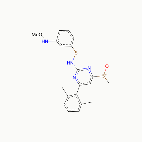 CONc1cccc(SNc2nc(-c3c(C)cccc3C)cc([S+](C)[O-])n2)c1